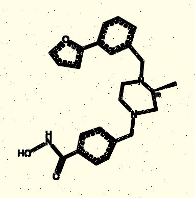 C[C@H]1CN(Cc2ccc(C(=O)NO)cc2)CCN1Cc1cccc(-c2ccco2)c1